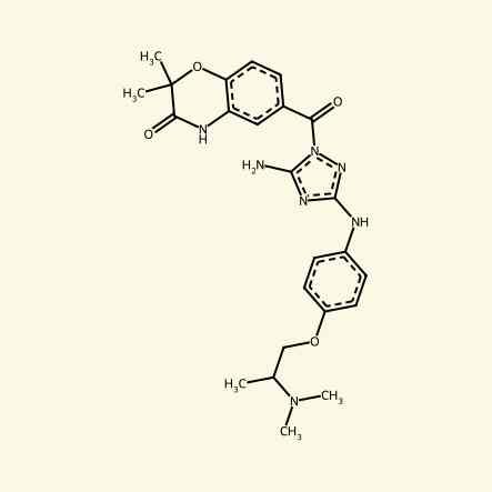 CC(COc1ccc(Nc2nc(N)n(C(=O)c3ccc4c(c3)NC(=O)C(C)(C)O4)n2)cc1)N(C)C